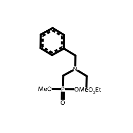 CCOC(=O)CN(Cc1ccccc1)CP(=O)(OC)OC